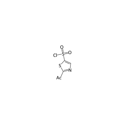 CC(=O)c1ncc(S(=O)(=O)Cl)s1